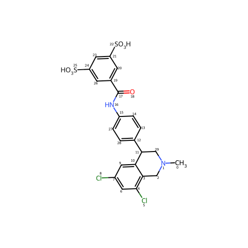 CN1Cc2c(Cl)cc(Cl)cc2C(c2ccc(NC(=O)c3cc(S(=O)(=O)O)cc(S(=O)(=O)O)c3)cc2)C1